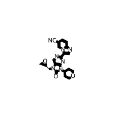 N#Cc1ccc2ncc(-c3ncc4c(n3)n(C3CCOCC3)c(=O)n4C[C@@H]3CO3)n2c1